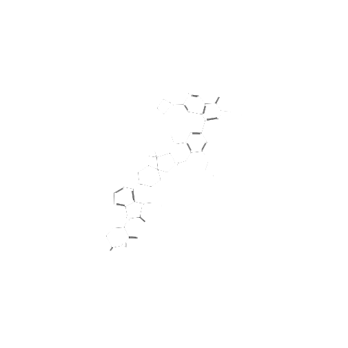 COc1cc(-c2cn(C)c(=O)c3cnc(N4CCC4)cc23)cc(OC)c1CN1CC(F)(F)C2(CCN(c3cccc4c3n(C)c(=O)n4C3CCC(=O)NC3=O)CC2)C1